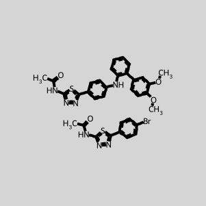 CC(=O)Nc1nnc(-c2ccc(Br)cc2)s1.COc1ccc(-c2ccccc2Nc2ccc(-c3nnc(NC(C)=O)s3)cc2)cc1OC